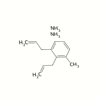 C=CCc1cccc(C)c1CC=C.N.N